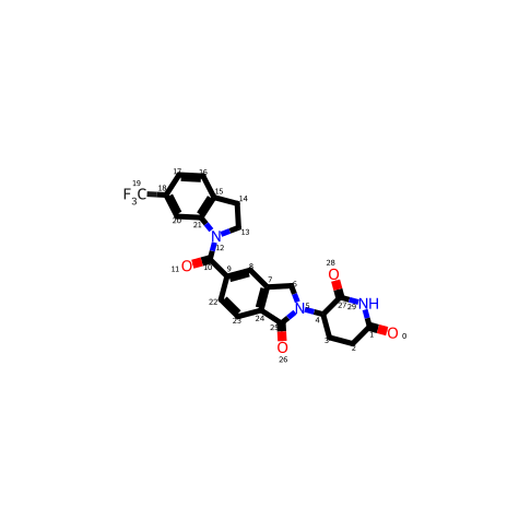 O=C1CCC(N2Cc3cc(C(=O)N4CCc5ccc(C(F)(F)F)cc54)ccc3C2=O)C(=O)N1